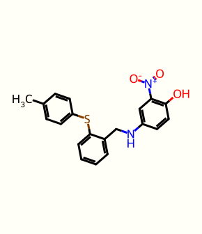 Cc1ccc(Sc2ccccc2CNc2ccc(O)c([N+](=O)[O-])c2)cc1